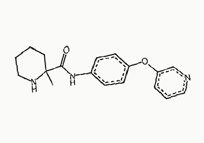 CC1(C(=O)Nc2ccc(Oc3cccnc3)cc2)CCCCN1